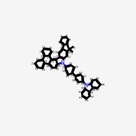 CC1(C)c2ccccc2-c2cc3c4c5c6ccccc6c6ccccc6c5ccc4n(-c4ccc(-c5ccc(-n6c7ccccc7c7ccccc76)cc5)cc4)c3cc21